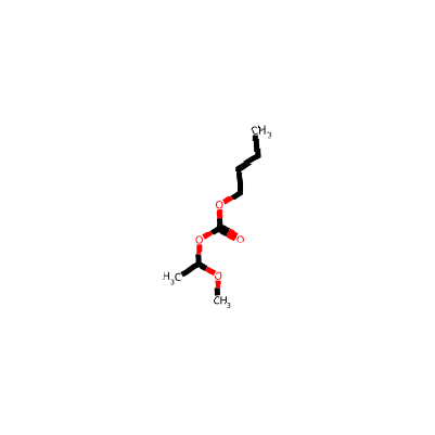 CCCCOC(=O)OC(C)OC